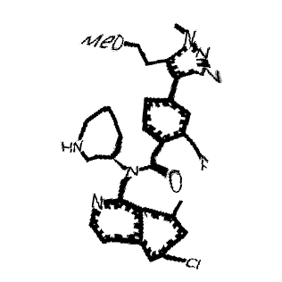 COCCc1c(-c2ccc(C(=O)N(c3nccc4cc(Cl)cc(C)c34)[C@@H]3CCCNC3)c(F)c2)nnn1C